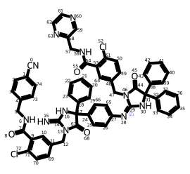 N#Cc1ccc(CNC(=O)c2cc(CN3C(=N)NC(c4ccccc4)(c4ccc(/N=C5/NC(c6ccccc6)(c6ccccc6)C(=O)N5Cc5ccc(Cl)c(C(=O)NCc6cnccn6)c5)cc4)C3=O)ccc2Cl)cc1